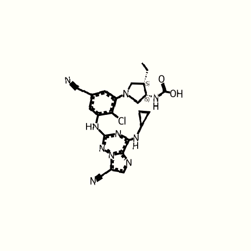 CC[C@H]1CN(c2cc(C#N)cc(Nc3nc(NC4CC4)c4ncc(C#N)n4n3)c2Cl)C[C@H]1NC(=O)O